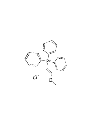 COC=C[P+](c1ccccc1)(c1ccccc1)c1ccccc1.[Cl-]